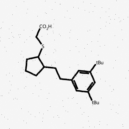 CC(C)(C)c1cc(CCC2CCCC2SCC(=O)O)cc(C(C)(C)C)c1